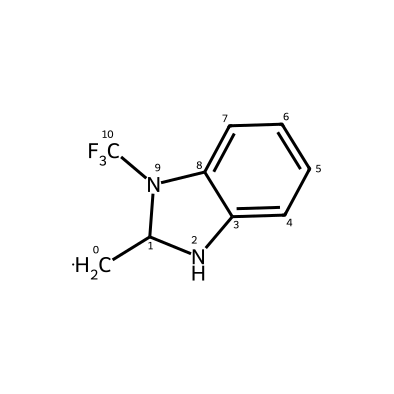 [CH2]C1Nc2ccccc2N1C(F)(F)F